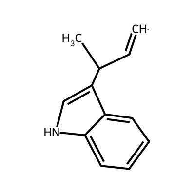 [CH]=CC(C)c1c[nH]c2ccccc12